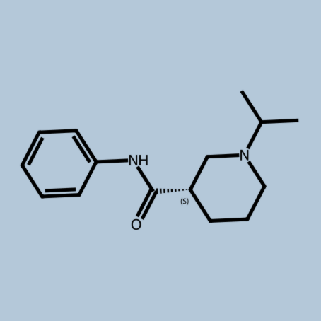 CC(C)N1CCC[C@H](C(=O)Nc2ccccc2)C1